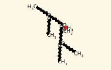 CCCCCCCCCOC(CCCCCC=CC(OC)OC(C=CCCCCCC(OCCCCCCCCC)OCCCCCCCCC)OC)OCCCCCCCCC